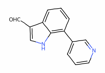 O=Cc1c[nH]c2c(-c3cccnc3)cccc12